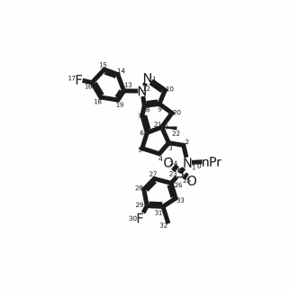 CCCN(CC1CCC2=Cc3c(cnn3-c3ccc(F)cc3)C[C@@]21C)S(=O)(=O)c1ccc(F)c(C)c1